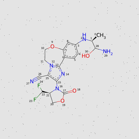 C[C@H](Nc1ccc2c(c1)OCCn1c-2nc(N2C(=O)OC[C@H]2C(F)F)c1C#N)C(N)O